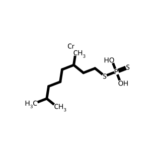 CC(C)CCCC(C)CCSP(O)(O)=S.[Cr]